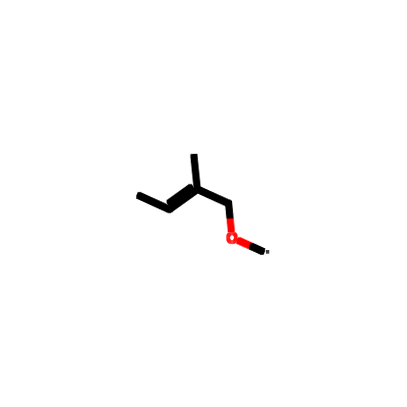 [CH2]OCC(C)=CC